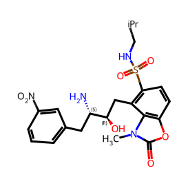 CC(C)CNS(=O)(=O)c1ccc2oc(=O)n(C)c2c1C[C@@H](O)[C@@H](N)Cc1cccc([N+](=O)[O-])c1